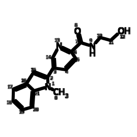 Cn1c(-c2c[c]c(C(=O)NCCO)nc2)cc2ccccc21